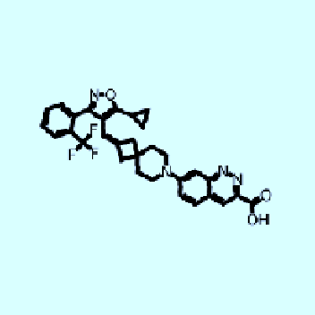 O=C(O)c1cc2ccc(N3CCC4(CC3)CC(=Cc3c(-c5ccccc5C(F)(F)F)noc3C3CC3)C4)cc2nn1